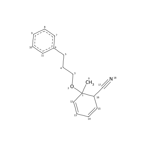 CC1(OCCCc2ccccc2)C=CC=CC1C#N